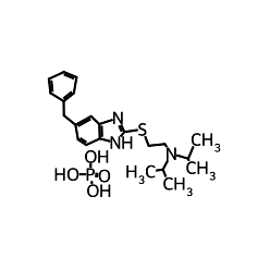 CC(C)N(CCSc1nc2cc(Cc3ccccc3)ccc2[nH]1)C(C)C.O=P(O)(O)O